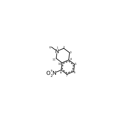 CN1CCc2cccc([N+](=O)[O-])c2C1